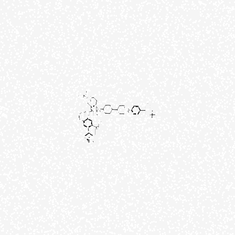 CC(=O)N1CCc2c(c(N3CCCc4cc(-c5cnn(C)c5)c(C(F)F)cc43)nn2C2CCC(C3CCN(c4ccc(C(=O)OC(C)(C)C)cc4)CC3)CC2)C1